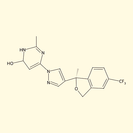 CC1=NC(n2cc([C@]3(C)OCc4cc(C(F)(F)F)ccc43)cn2)=CC(O)N1